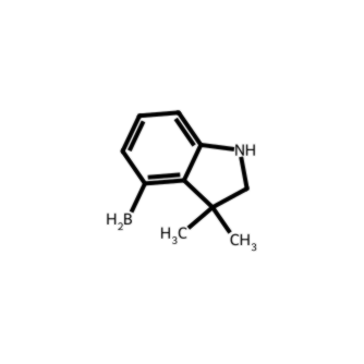 Bc1cccc2c1C(C)(C)CN2